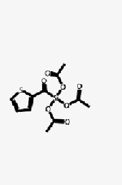 CC(=O)O[Si](OC(C)=O)(OC(C)=O)C(=O)c1cccs1